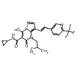 CC(C)Cn1c(=O)c(C(=O)NC2CC2)c(O)n2ncc(/C=C/c3ccc(C(F)(F)F)nc3)c12